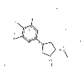 CO[C@H]1CN(c2cc(I)c(Cl)c(F)n2)C[C@H]1F